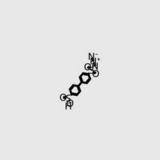 [N-]=[N+]=NS(=O)(=O)c1ccc(-c2ccc([SH](=O)=O)cc2)cc1